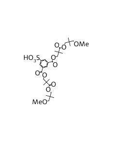 COCC(C)(C)COC(=O)C(C)(C)COC(=O)c1cc(C(=O)OCC(C)(C)C(=O)OCC(C)(C)COC)cc(S(=O)(=O)O)c1